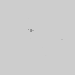 C=C1CCC(NC(=O)[C@@H](C)c2cc(C(F)(F)F)cc(C(F)(F)F)c2)(c2ccccc2)CC1